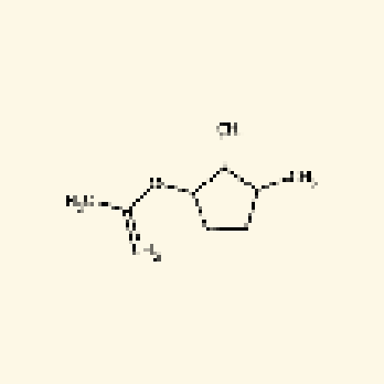 C=C(C)OC1CCC(C)C1C